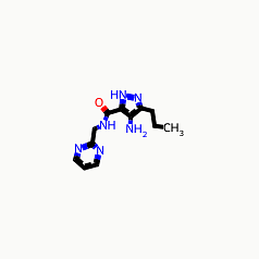 CCCc1n[nH]c(C(=O)NCc2ncccn2)c1N